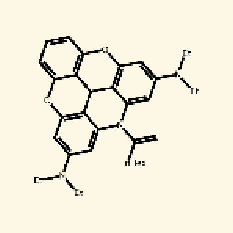 C=C(CCCCCC)N1c2cc(N(CC)CC)cc3c2C2c4c(cccc4Oc4cc(N(CC)CC)cc1c42)O3